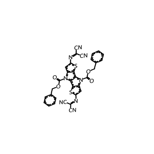 N#CC(C#N)=Nc1cc2c(s1)c1c(c3sc(N=C(C#N)C#N)cc3n1C(=O)OCc1ccccc1)n2C(=O)OCc1ccccc1